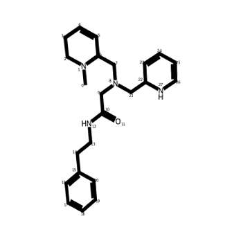 CN1CCC=CC1CN(CC(=O)NCCc1ccccc1)CC1C=CC=CN1